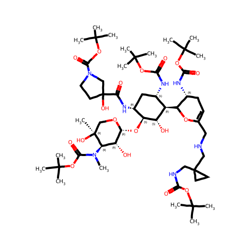 CN(C(=O)OC(C)(C)C)[C@@H]1[C@@H](O)[C@@H](O[C@@H]2[C@@H](O)[C@H](C3OC(CNCC4(CNC(=O)OC(C)(C)C)CC4)=CC[C@H]3NC(=O)OC(C)(C)C)[C@@H](NC(=O)OC(C)(C)C)C[C@H]2NC(=O)C2(O)CCN(C(=O)OC(C)(C)C)C2)OC[C@]1(C)O